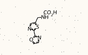 O=C(O)NCc1cnc(-c2ncco2)s1